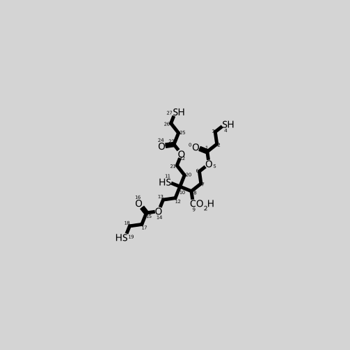 O=C(CCS)OCCC(C(=O)O)C(S)(CCOC(=O)CCS)CCOC(=O)CCS